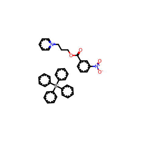 O=C(OCCC[n+]1ccccc1)c1cccc([N+](=O)[O-])c1.c1ccc([B-](c2ccccc2)(c2ccccc2)c2ccccc2)cc1